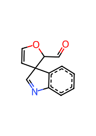 O=CC1OC=CC12C=Nc1ccccc12